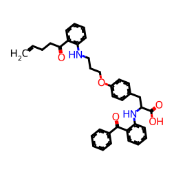 C=CCCC(=O)c1ccccc1NCCCOc1ccc(CC(Nc2ccccc2C(=O)c2ccccc2)C(=O)O)cc1